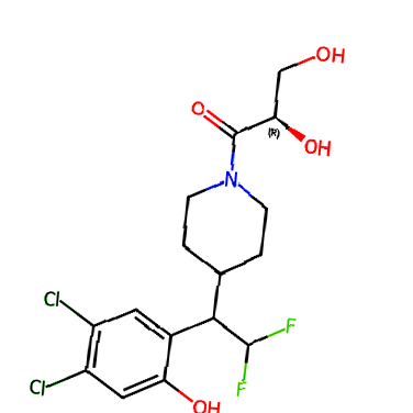 O=C([C@H](O)CO)N1CCC(C(c2cc(Cl)c(Cl)cc2O)C(F)F)CC1